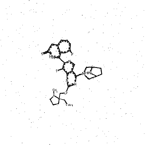 CN1CCC[C@@]1(CO)COc1nc(N2CC3CCC(C2)N3)c2cnc(-c3[nH]c(=S)cc4cccc(F)c34)c(F)c2n1